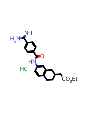 CCOC(=O)CC1CCc2ccc(NC(=O)c3ccc(C(=N)N)cc3)cc2C1.Cl